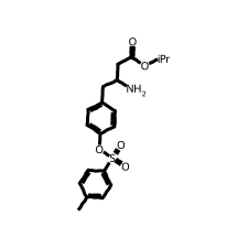 Cc1ccc(S(=O)(=O)Oc2ccc(CC(N)CC(=O)OC(C)C)cc2)cc1